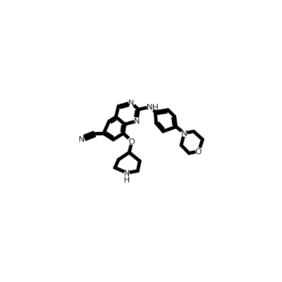 N#Cc1cc(OC2CCNCC2)c2nc(Nc3ccc(N4CCOCC4)cc3)ncc2c1